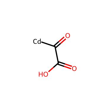 O=C(O)[C](=O)[Cd]